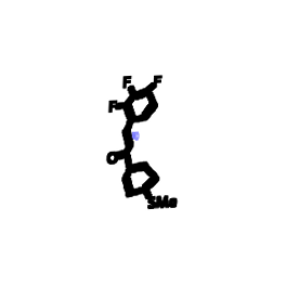 CSc1ccc(C(=O)/C=C/c2ccc(F)c(F)c2F)cc1